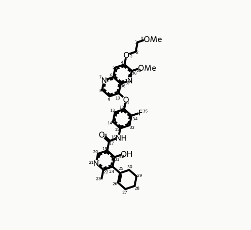 COCCOc1cc2nccc(Oc3ccc(NC(=O)c4cnc(C)c(C5=CCCCC5)c4O)cc3F)c2nc1OC